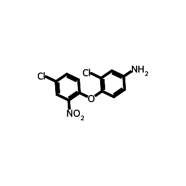 Nc1ccc(Oc2ccc(Cl)cc2[N+](=O)[O-])c(Cl)c1